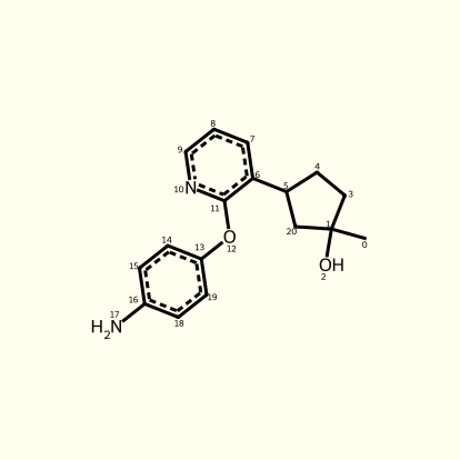 CC1(O)CCC(c2cccnc2Oc2ccc(N)cc2)C1